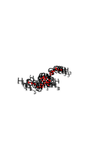 COCCC(C)(C)OCC(C)(C)C(=O)N1CCC(CNc2cc(OC)c3c4c(OC)c(Br)c(O)c5c(=O)c(NCC6CCN(C(=O)CCC(C)(C)OCC(C)(C)OC)CC6)c6c(c7c(c(OC)c(=O)c2c37)C(C(C)=O)C(C)=C6)c54)CC1